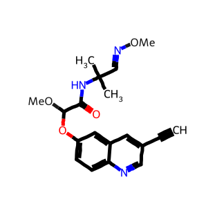 C#Cc1cnc2ccc(OC(OC)C(=O)NC(C)(C)/C=N/OC)cc2c1